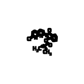 CCN(CC)C(=O)OC1c2ccccc2C(=O)N1c1ccc2ccc(Cl)nc2n1